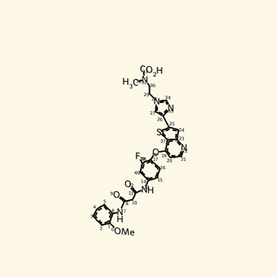 COc1ccccc1NC(=O)CC(=O)Nc1ccc(Oc2ccnc3cc(-c4cn(CCN(C)C(=O)O)cn4)sc23)c(F)c1